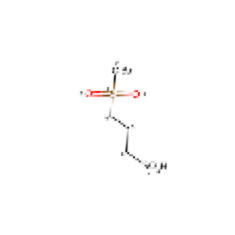 CC(C)COS(=O)(=O)CCCS(=O)(=O)O